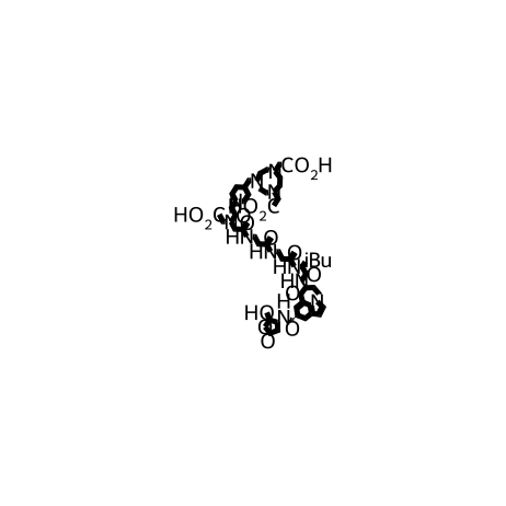 CCC(C)C(NC(=O)CCNC(=O)CCNC(=O)CN(CC(=O)O)C(=O)CN1CCC(CN2CCN(CC(=O)O)CCN(CC(=O)O)CC2)CC1)C(=O)N[C@H]1CCn2ccc3c2C(=C[C@@H](C(=O)NC2CC(=O)OC2O)C3)C1=O